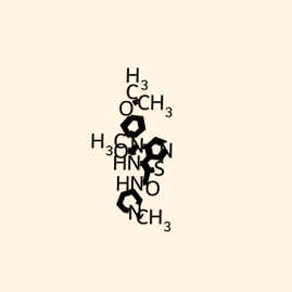 Cc1cc(OC(C)C)ccc1N1C(=O)Nc2c(C(=O)N[C@@H]3CCCN(C)C3)sc3nccc1c23